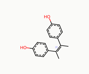 C/C(=C(\C)c1ccc(O)cc1)c1ccc(O)cc1